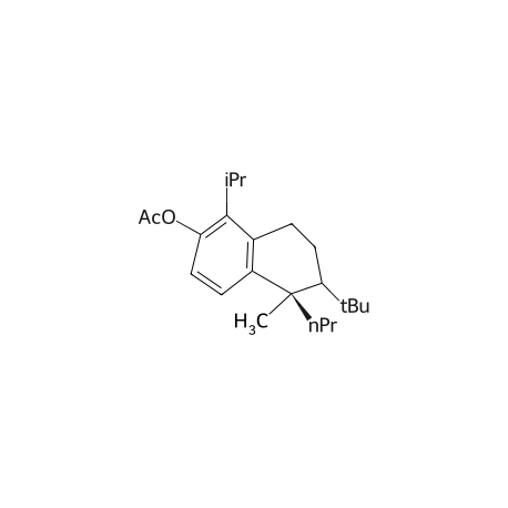 CCC[C@@]1(C)c2ccc(OC(C)=O)c(C(C)C)c2CCC1C(C)(C)C